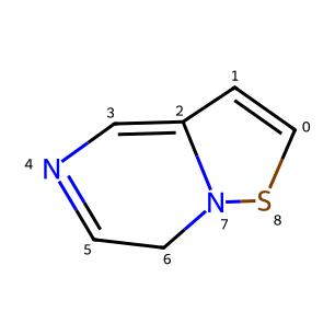 C1=CC2=CN=CCN2S1